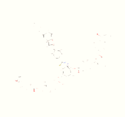 CCCc1ccc2oc(-c3ccc(-c4nc5c(OC(=O)C6CCC(C(C)OC(=O)C7CCC(C(C)=O)CC7)CC6)ccc(OC(=O)C6CCC(COC(=O)C7CCC(C(C)=O)CC7)CC6)c5s4)cc3)cc2c1